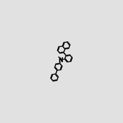 CN(c1ccc(-c2ccccc2)cc1)c1ccccc1-c1cccc2ccccc12